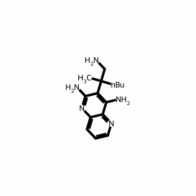 CCCCC(C)(CN)c1c(N)nc2cccnc2c1N